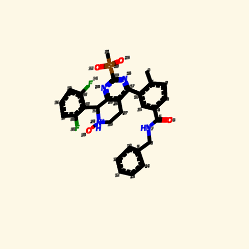 Cc1ccc(C(=O)NCc2ccccc2)cc1-c1nc(S(C)(=O)=O)nc2c1CC[NH+]([O-])C2c1c(F)cccc1F